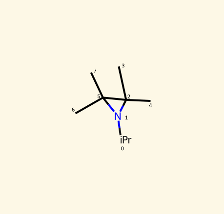 [CH2]C(C)N1C(C)(C)C1(C)C